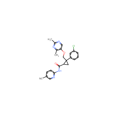 Cc1ncc(OCC2(c3cccc(Cl)c3)CC2C(=O)Nc2ccc(C#N)cn2)c(C)n1